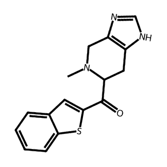 CN1Cc2nc[nH]c2CC1C(=O)c1cc2ccccc2s1